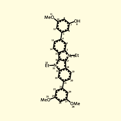 CCn1c2cc(-c3cc(O)cc(OC)c3)ccc2c2c1c1ccc(-c3cc(OC)cc(OC)c3)cc1n2CC